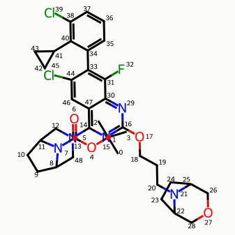 CC(C)(C)OC(=O)N1C2CCC1CN(c1nc(OCCCN3C4CCC3COC4)nc3c(F)c(-c4cccc(Cl)c4C4CC4)c(Cl)cc13)C2